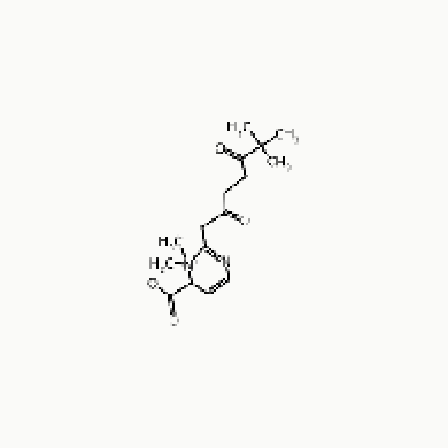 CC(C)(C)C(=O)CCC(=O)CC1=NC=CC(C(=O)[O-])[N+]1(C)C